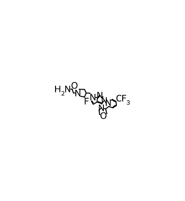 NC(=O)CN1CCC(Cn2ccc3c(N4CCOCC4c4ccc(C(F)(F)F)cn4)ncnc32)[C@@H](F)C1